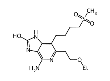 CCOCCc1nc(N)c2nc(O)[nH]c2c1CCCCS(C)(=O)=O